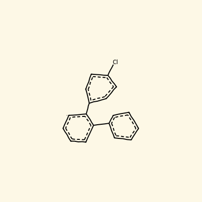 Clc1ccc(-c2[c]cccc2-c2ccccc2)cc1